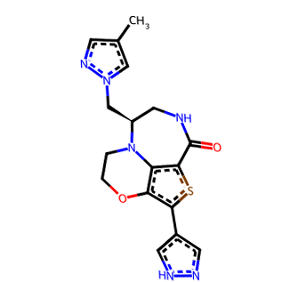 Cc1cnn(C[C@H]2CNC(=O)c3sc(-c4cn[nH]c4)c4c3N2CCO4)c1